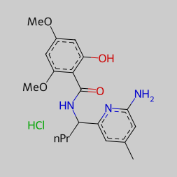 CCCC(NC(=O)c1c(O)cc(OC)cc1OC)c1cc(C)cc(N)n1.Cl